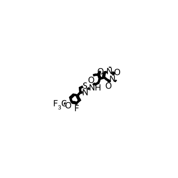 Cc1oc2c(c1CC(=O)NC1=NC(c3ccc(OC(F)(F)F)c(F)c3)CS1)c(=O)n(C)c(=O)n2C